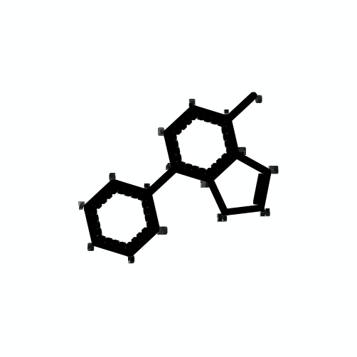 Cc1ccc(-c2ccccc2)c2c1C=CC2